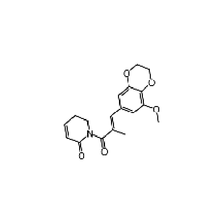 COc1cc(/C=C(\C)C(=O)N2CCC=CC2=O)cc2c1OCCO2